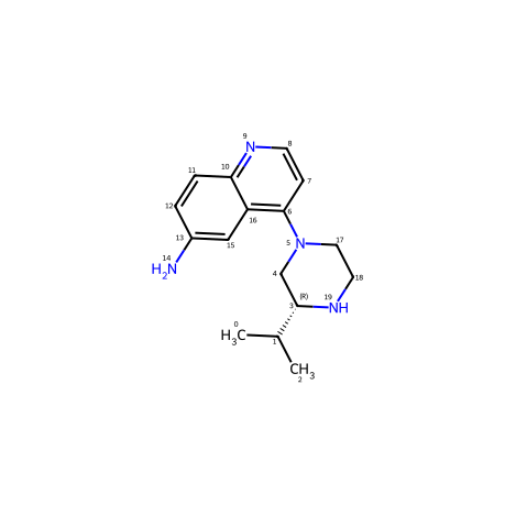 CC(C)[C@@H]1CN(c2ccnc3ccc(N)cc23)CCN1